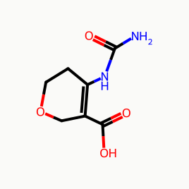 NC(=O)NC1=C(C(=O)O)COCC1